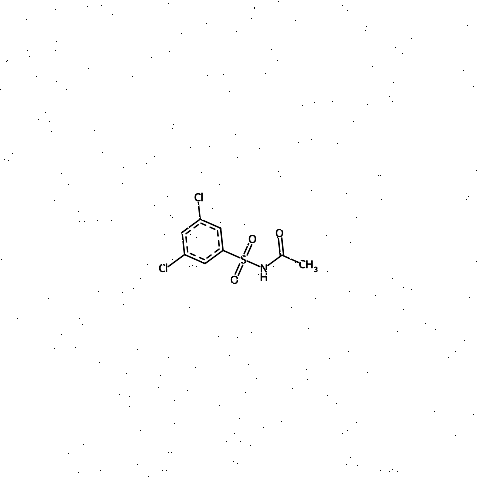 CC(=O)NS(=O)(=O)c1cc(Cl)cc(Cl)c1